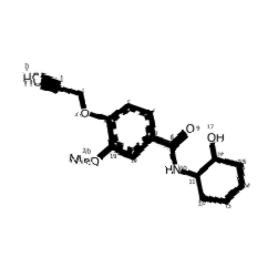 C#CCOc1ccc(C(=O)NC2CCCCC2O)cc1OC